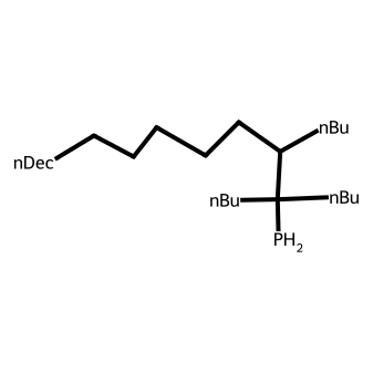 CCCCCCCCCCCCCCCC(CCCC)C(P)(CCCC)CCCC